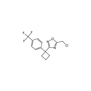 FC(F)(F)c1ccc(C2(c3noc(CCl)n3)CCC2)cc1